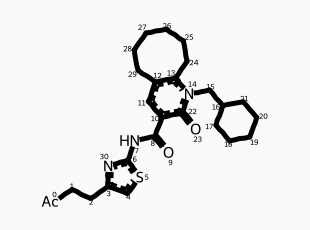 CC(=O)CCc1csc(NC(=O)c2cc3c(n(CC4CCCCC4)c2=O)CCCCCC3)n1